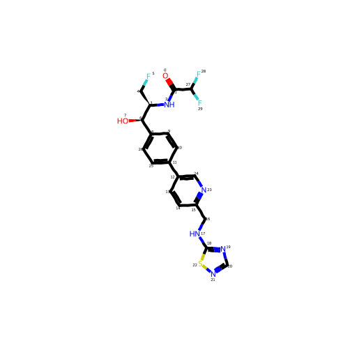 O=C(N[C@H](CF)[C@H](O)c1ccc(-c2ccc(CNc3ncns3)nc2)cc1)C(F)F